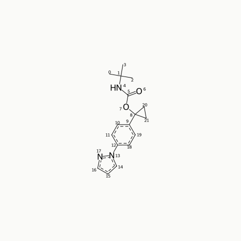 CC(C)(C)NC(=O)OC1(c2ccc(-n3cccn3)cc2)CC1